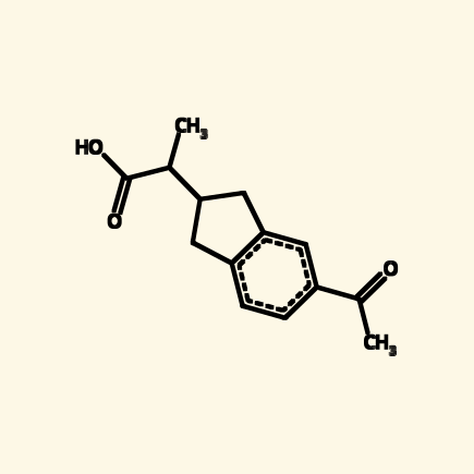 CC(=O)c1ccc2c(c1)CC(C(C)C(=O)O)C2